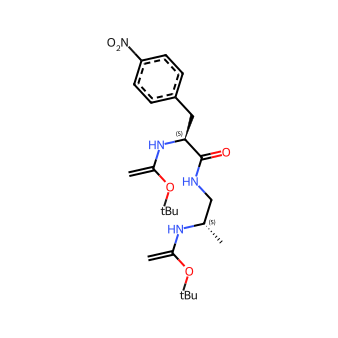 C=C(N[C@@H](Cc1ccc([N+](=O)[O-])cc1)C(=O)NC[C@H](C)NC(=C)OC(C)(C)C)OC(C)(C)C